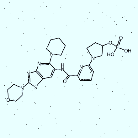 O=C(Nc1cc2sc(N3CCOCC3)nc2nc1N1CCCCC1)c1cccc(N2CCC(OP(=O)(O)O)C2)n1